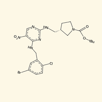 CC(C)(C)OC(=O)N1CC[C@@H](CNc2ncc([N+](=O)[O-])c(NCc3cc(Br)ccc3Cl)n2)C1